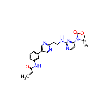 C=CC(=O)Nc1cccc(-c2cnc(CCNc3nccc(N4C(=O)OC[C@@H]4C(C)C)n3)nc2)c1